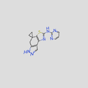 c1cnc(Nc2nc3c(s2)C2(CC2)Cc2[nH]ncc2-3)nc1